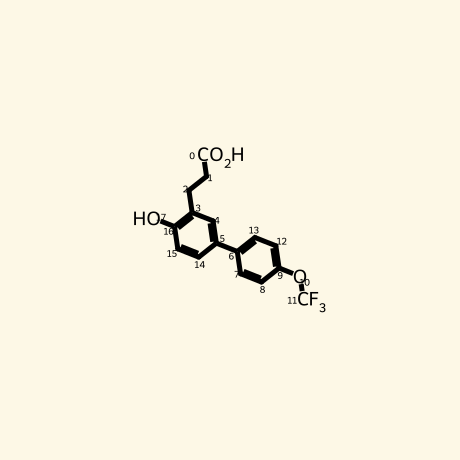 O=C(O)CCc1cc(-c2ccc(OC(F)(F)F)cc2)ccc1O